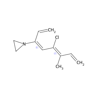 C=C/C(C)=C(Cl)/C=C(\C=C)N1CC1